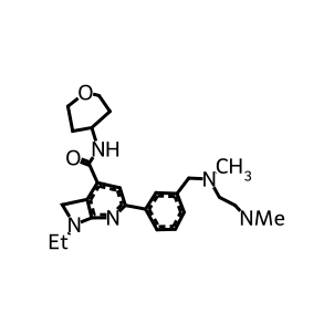 CCN1Cc2c(C(=O)NC3CCOCC3)cc(-c3cccc(CN(C)CCNC)c3)nc21